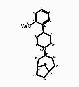 COc1ccccc1C1CCN(C2CCC3CCC(C3)C2)CC1